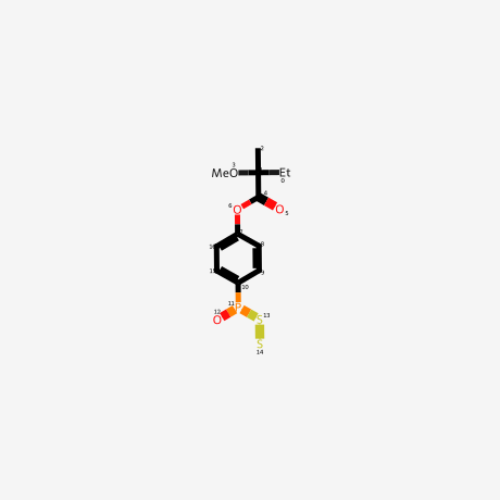 CCC(C)(OC)C(=O)Oc1ccc(P(=O)=S=S)cc1